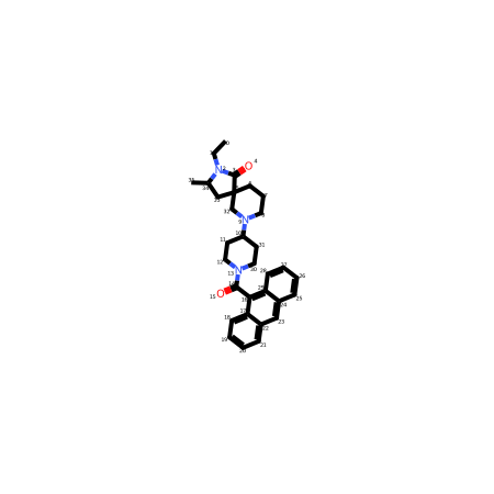 CCN1C(=O)C2(CCCN(C3CCN(C(=O)c4c5ccccc5cc5ccccc45)CC3)C2)CC1C